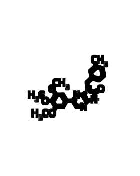 COc1cc(-c2cnc3c(n2)N(Cc2cccc(C)c2)C(=O)[N]3)cc(OC)c1OC